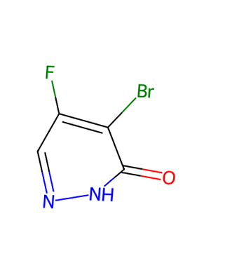 O=c1[nH]ncc(F)c1Br